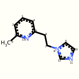 Cc1cccc(CCn2ccnc2)n1